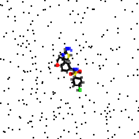 NC1=NC2(CCOc3ccc(NS(=O)(=O)c4ccc(Cl)cc4)cc32)CS1